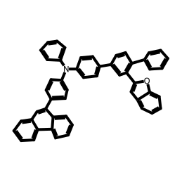 c1ccc(-c2ccc(-c3ccc(N(c4ccccc4)c4ccc(-c5cc6ccccc6c6ccccc56)cc4)cc3)cc2-c2cc3ccccc3o2)cc1